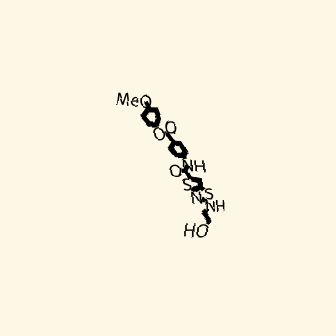 COc1ccc(OC(=O)c2ccc(NC(=O)c3cc4sc(NCCO)nc4s3)cc2)cc1